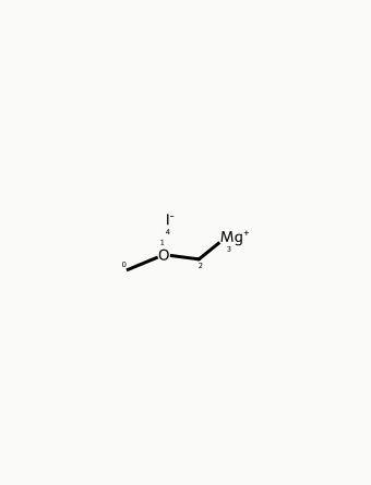 CO[CH2][Mg+].[I-]